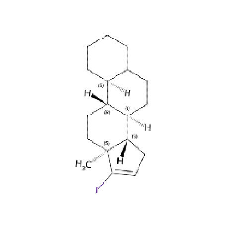 C[C@]12CC[C@H]3[C@@H](CCC4CCCC[C@@H]43)[C@@H]1CC=C2I